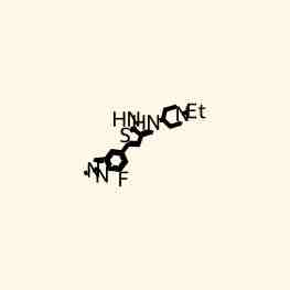 CCN1CCC(N/C=C2/C=C(c3cc(F)c4nn(C)cc4c3)SC2=N)CC1